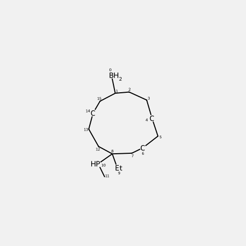 BC1CCCCCCC(CC)(PC)CCCC1